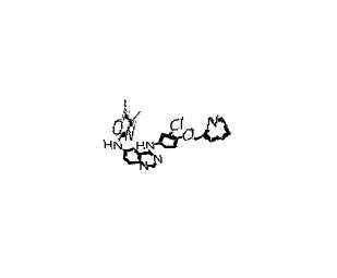 C[C@@H]1OC(Nc2ccc3ncnc(Nc4ccc(OCc5ccccn5)c(Cl)c4)c3c2)=N[C@@H]1C